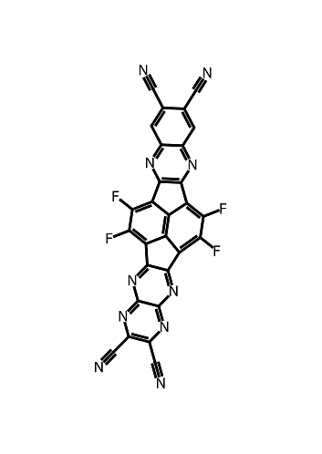 N#Cc1cc2nc3c(nc2cc1C#N)-c1c(F)c(F)c2c4c(c(F)c(F)c-3c14)-c1nc3nc(C#N)c(C#N)nc3nc1-2